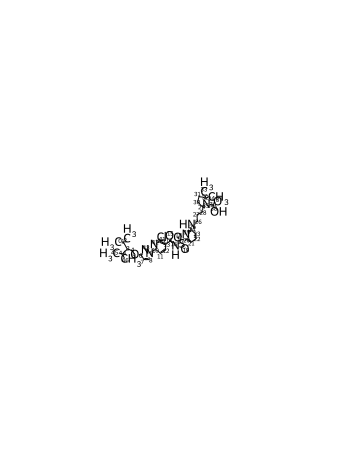 CC(C)C(COc1ccn(-c2ccc(C(=O)NS(=O)(=O)c3cccc(NCCC[C@H]4CCC(C)(C)N4C(=O)O)n3)c(Cl)n2)n1)C(C)C